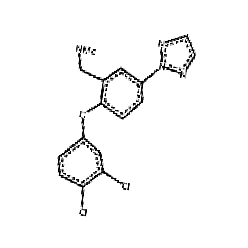 CNCc1cc(-n2nccn2)ccc1Oc1ccc(Cl)c(Cl)c1